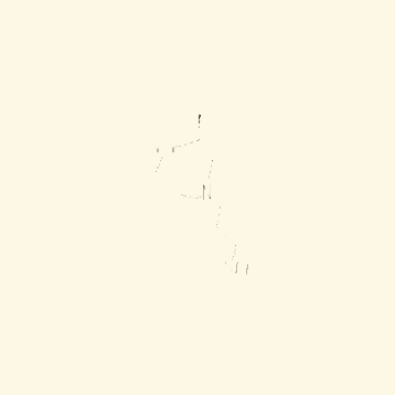 C[C@H]1CN(CCCS)CCO1